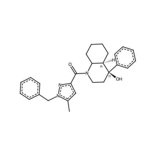 Cc1cc(C(=O)N2CC[C@@](O)(c3ccccc3)[C@@H]3CCCCC32)nn1Cc1ccccc1